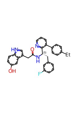 CCc1ccc(-c2cccnc2[C@H](Cc2cccc(F)c2)NC(=O)Cc2c[nH]c3ccc(O)cc23)cc1